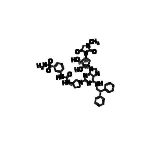 CN1CC(=O)N([C@H]2C[C@@H](n3cnc4c(NCC(c5ccccc5)c5ccccc5)nc(N5CC[C@@H](NC(=O)Nc6cccc(S(N)(=O)=O)c6)C5)nc43)[C@H](O)[C@@H]2O)C1=O